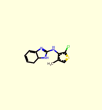 Cc1csc(Cl)c1NC1=NC2=CC=CCC2N1